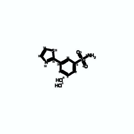 Cl.Cl.NS(=O)(=O)c1cccc(-c2nccs2)c1